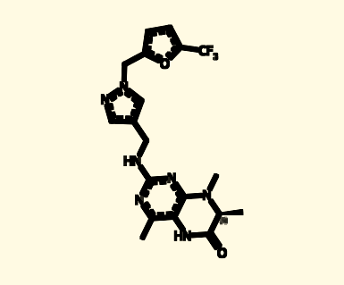 Cc1nc(NCc2cnn(Cc3ccc(C(F)(F)F)o3)c2)nc2c1NC(=O)[C@H](C)N2C